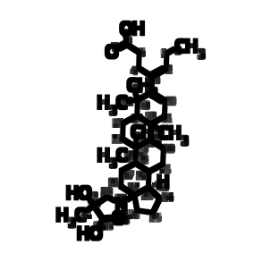 CC/C=C(\CCC(=O)O)C1=CCC2(C)C(CCC3(C)C2CCC2[C@H]4CCCC4(NCC(C)(O)C(=O)O)CC[C@]23C)C1(C)C